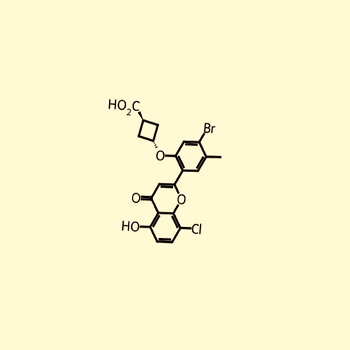 Cc1cc(-c2cc(=O)c3c(O)ccc(Cl)c3o2)c(O[C@H]2C[C@H](C(=O)O)C2)cc1Br